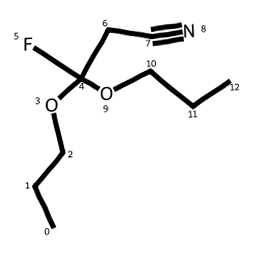 CCCOC(F)(CC#N)OCCC